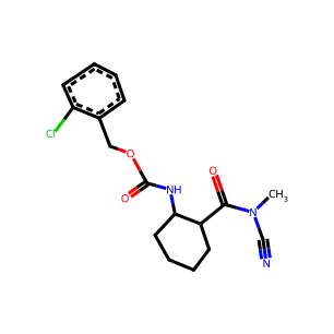 CN(C#N)C(=O)C1CCCCC1NC(=O)OCc1ccccc1Cl